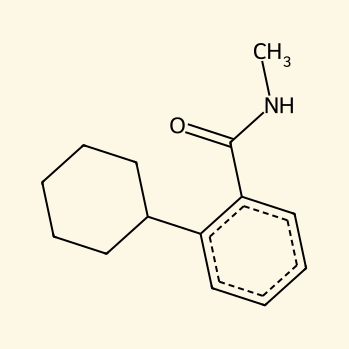 CNC(=O)c1ccccc1C1CCCCC1